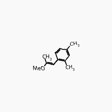 CO/C(C)=C/c1ccc(C)cc1C